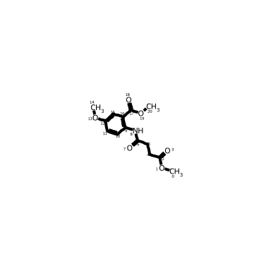 COC(=O)CCC(=O)Nc1ccc(OC)cc1C(=O)OC